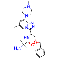 Cc1cc(N2CCN(C)CC2)c2nnc(C(COCc3ccccc3)NC(=O)C(C)(C)N)n2c1